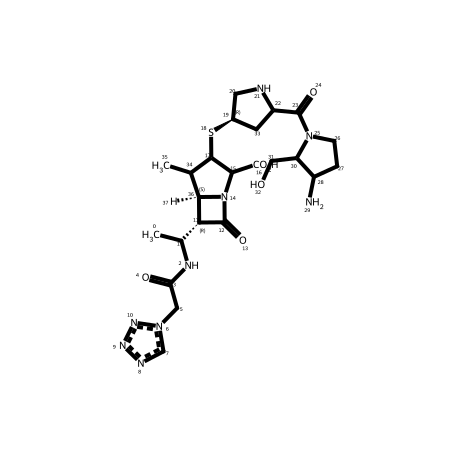 CC(NC(=O)Cn1cnnn1)[C@H]1C(=O)N2C(C(=O)O)C(S[C@H]3CNC(C(=O)N4CCC(N)C4CO)C3)C(C)[C@H]12